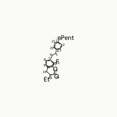 CCCCCc1ccc(CCc2ccc3c(c2F)OC(=O)C(CC)C3)cc1